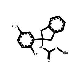 CCc1ccc([N+](=O)[O-])cc1C1(NC(=O)OC(C)(C)C)Cc2ccccc2C1